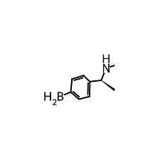 Bc1ccc([C@H](C)NC)cc1